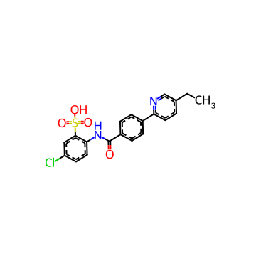 CCc1ccc(-c2ccc(C(=O)Nc3ccc(Cl)cc3S(=O)(=O)O)cc2)nc1